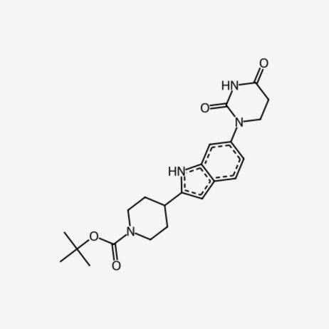 CC(C)(C)OC(=O)N1CCC(c2cc3ccc(N4CCC(=O)NC4=O)cc3[nH]2)CC1